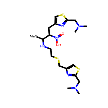 CNC(NCCSCc1csc(CN(C)C)n1)C(Cc1csc(CN(C)C)n1)[N+](=O)O